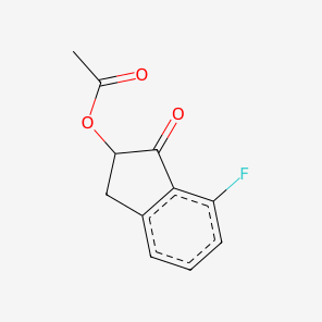 CC(=O)OC1Cc2cccc(F)c2C1=O